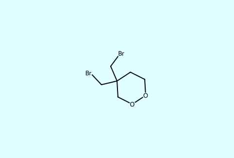 BrCC1(CBr)CCOOC1